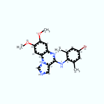 COc1cc2nc(Nc3c(C)cc(Br)cc3C)c3cncn3c2cc1OC